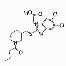 CCCC(=O)N1CCCC(CSc2nc3cc(Cl)c(Cl)cc3n2CC(=O)O)C1